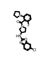 O=C(c1c(F)cccc1N1CCCC1)N1CCC(Nc2nc3ccc(Cl)cc3o2)C1